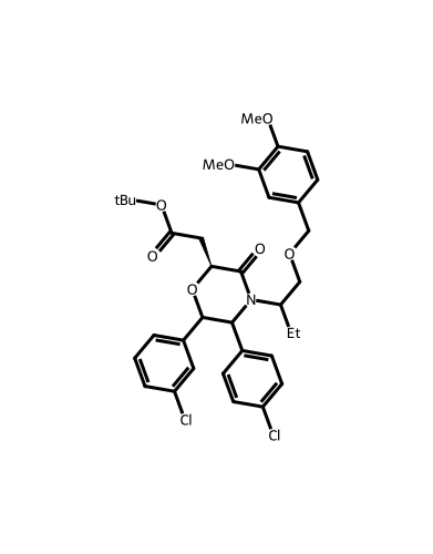 CCC(COCc1ccc(OC)c(OC)c1)N1C(=O)[C@H](CC(=O)OC(C)(C)C)OC(c2cccc(Cl)c2)C1c1ccc(Cl)cc1